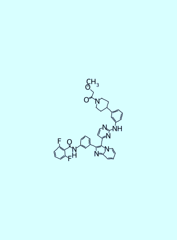 COCC(=O)N1CCC(c2cccc(Nc3nccc(-c4c(-c5cccc(NC(=O)c6c(F)cccc6F)c5)nc5ccccn45)n3)c2)CC1